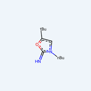 CCCCn1cc(C(C)(C)C)oc1=N